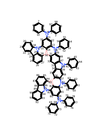 c1ccc(N(c2ccccc2)c2cc3c4c(c2)-n2c5ccccc5c5cccc(c52)B4c2cc4c5cc6c(cc5n(-c5ccccc5)c4cc2N3c2ccccc2)N(c2ccccc2)c2cc(N(c3ccccc3)c3ccccc3)cc3c2B6c2cccc4c5ccccc5n-3c24)cc1